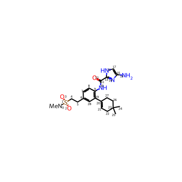 CNS(=O)(=O)CCc1ccc(NC(=O)c2nc(N)c[nH]2)c(C2=CCC(C)(C)CC2)c1